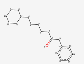 O=C(CCCCC[C]1CCCCC1)Cc1ccccc1